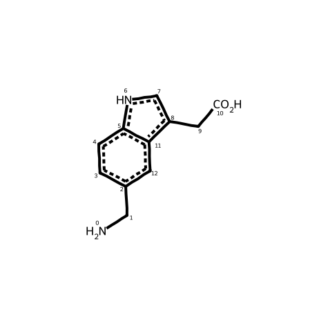 NCc1ccc2[nH]cc(CC(=O)O)c2c1